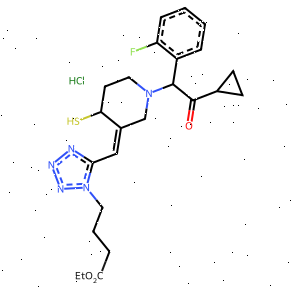 CCOC(=O)CCCn1nnnc1C=C1CN(C(C(=O)C2CC2)c2ccccc2F)CCC1S.Cl